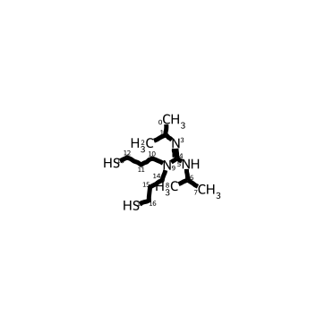 CC(C)/N=C(/NC(C)C)N(CCCS)CCCS